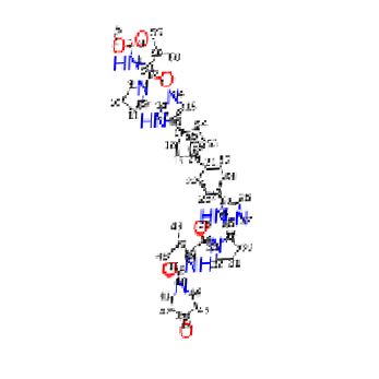 COC(=O)N[C@H](C(=O)N1CCC[C@H]1c1ncc(C23CCC(c4ccc(-c5cnc([C@@H]6CCCN6C(=O)[C@@H](NC(=O)N6CCC(=O)CC6)C(C)C)[nH]5)cc4)(CC2)CC3)[nH]1)C(C)C